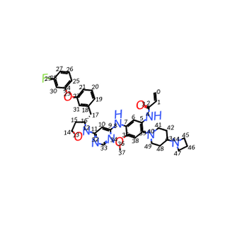 C=CC(=O)Nc1cc(Nc2cc(N3OCC[C@@H]3Cc3cccc(Oc4cccc(F)c4)c3)ncn2)c(OC)cc1N1CCC(N2CCC2)CC1